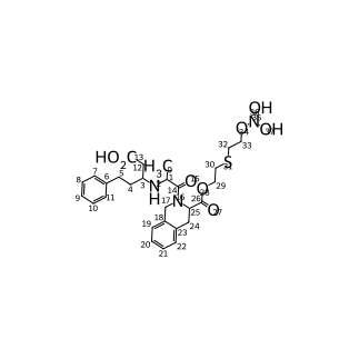 CC(NC(CCc1ccccc1)CC(=O)O)C(=O)N1Cc2ccccc2CC1C(=O)OCCSCCON(O)O